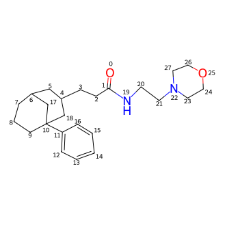 O=C(CCC1CC2CCCC(c3ccccc3)(C2)C1)NCCN1CCOCC1